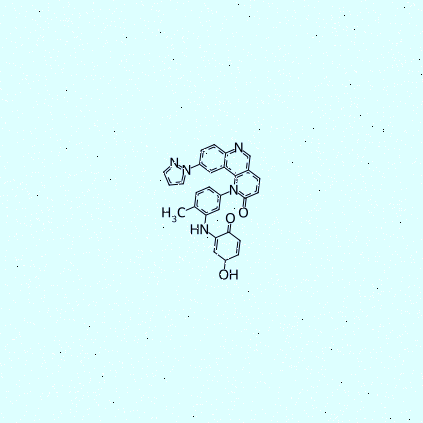 Cc1ccc(-n2c(=O)ccc3cnc4ccc(-n5cccn5)cc4c32)cc1NC1=CC(O)C=CC1=O